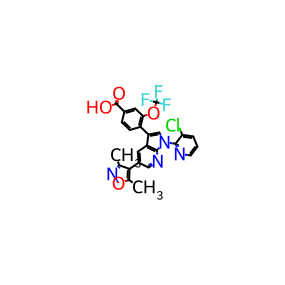 Cc1noc(C)c1-c1cnc2c(c1)c(-c1ccc(C(=O)O)cc1OC(F)(F)F)cn2-c1ncccc1Cl